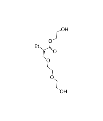 CCC(=COCCOCCO)C(=O)OCCO